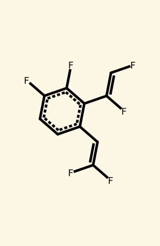 FC=C(F)c1c(C=C(F)F)ccc(F)c1F